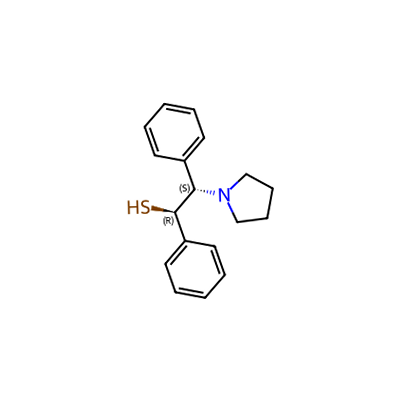 S[C@H](c1ccccc1)[C@H](c1ccccc1)N1CCCC1